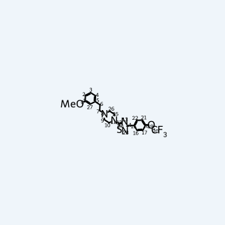 COc1cccc(CCN2CCN(c3nc(-c4ccc(OC(F)(F)F)cc4)ns3)CC2)c1